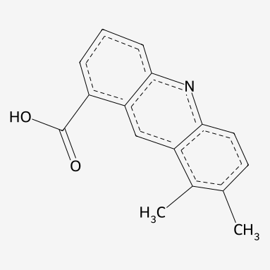 Cc1ccc2nc3cccc(C(=O)O)c3cc2c1C